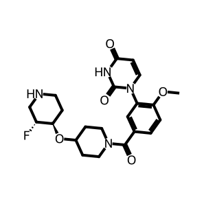 COc1ccc(C(=O)N2CCC(O[C@@H]3CCNC[C@H]3F)CC2)cc1-n1ccc(=O)[nH]c1=O